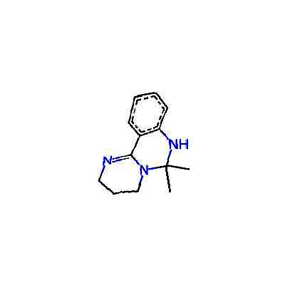 CC1(C)Nc2ccccc2C2=NCCCN21